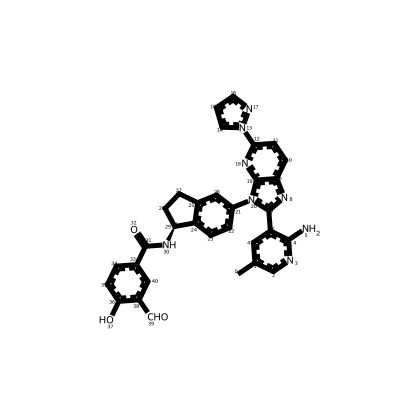 Cc1cnc(N)c(-c2nc3ccc(-n4cccn4)nc3n2-c2ccc3c(c2)CC[C@@H]3NC(=O)c2ccc(O)c(C=O)c2)c1